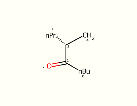 CCCCC(=O)[C@@H](C)CCC